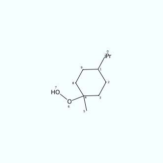 CC(C)C1CCC(C)(OO)CC1